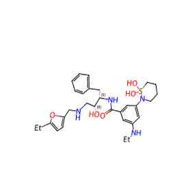 CCNc1cc(C(=O)N[C@@H](Cc2ccccc2)[C@H](O)CNCc2ccc(CC)o2)cc(N2CCCCS2(O)O)c1